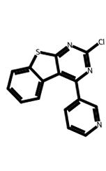 Clc1nc(-c2cccnc2)c2c(n1)sc1ccccc12